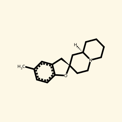 Cc1ccc2c(c1)C[C@@]1(CCN3CCCC[C@@H]3C1)O2